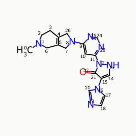 CN1CCC2=C(C1)CN(c1cc(-n3[nH]cc(-n4ccnc4)c3=O)ncn1)C2